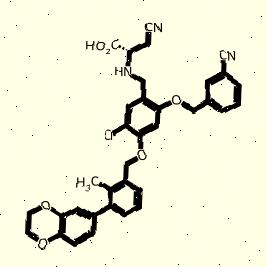 Cc1c(COc2cc(OCc3cccc(C#N)c3)c(CN[C@@H](CC#N)C(=O)O)cc2Cl)cccc1-c1ccc2c(c1)OCCO2